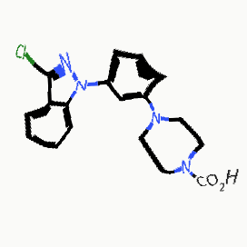 O=C(O)N1CCN(c2cccc(-n3nc(Cl)c4ccccc43)c2)CC1